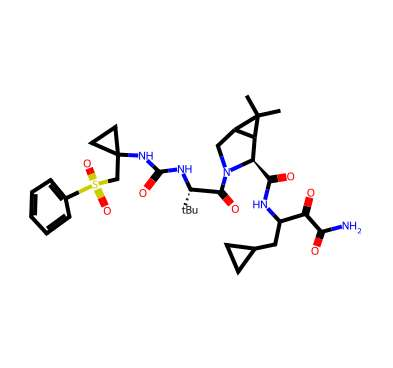 CC1(C)C2CN(C(=O)[C@@H](NC(=O)NC3(CS(=O)(=O)c4ccccc4)CC3)C(C)(C)C)[C@H](C(=O)NC(CC3CC3)C(=O)C(N)=O)C21